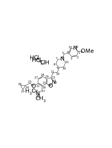 COc1ccc(CN2CCC(CCc3noc4c(CN(C)C)c(OCC5CC5)ccc34)CC2)cn1.Cl.Cl.Cl